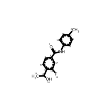 Cc1ccc(NC(=O)c2ccc(C(C)O)c(F)c2)cc1